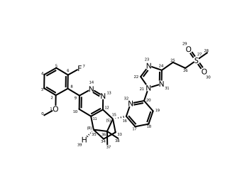 COc1cccc(F)c1-c1cc2c(nn1)[C@@]1(c3cccc(-n4cnc(CCS(C)(=O)=O)n4)n3)CC[C@@H]2C1(C)C